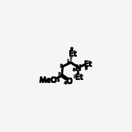 CC[C@@H](CC(=O)OC)N(CC)CC